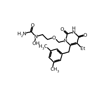 CCc1c(Cc2cc(C)cc(C)c2)n(COCCN(O)C(N)=O)c(=O)[nH]c1=O